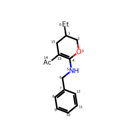 CCC1COC(NCc2ccccc2)=C(C(C)=O)C1